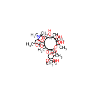 CC[C@H]1OC(=O)[C@H](C)[C@@H](OC2CC(C)(OC)C(O)C(C)O2)[C@H](C)[C@@H](OC2CC(N(C)C(C)=O)CC(C)O2)[C@@](C)(O)C[C@@H](C)[C@H](O)[C@H](C)[C@@H](O)[C@]1(C)O